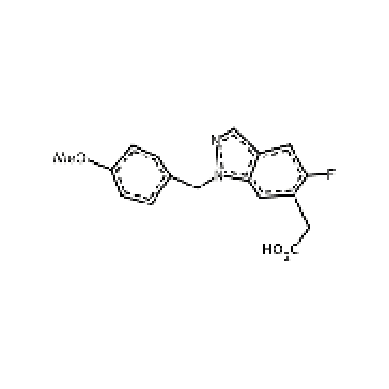 COc1ccc(Cn2ncc3cc(F)c(CC(=O)O)cc32)cc1